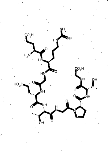 C[C@@H](O)[C@H](NC(=O)[C@H](CCC(=O)O)NC(=O)CNC(=O)[C@H](CCCNC(=N)N)NC(=O)[C@@H](N)CCC(=O)O)C(=O)NCC(=O)N1CCC[C@H]1C(=O)N[C@@H](CO)C(=O)NCC(=O)O